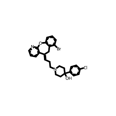 OC1(c2ccc(Cl)cc2)CCN(CCC=C2Cc3c(Br)cccc3Oc3ncccc32)CC1